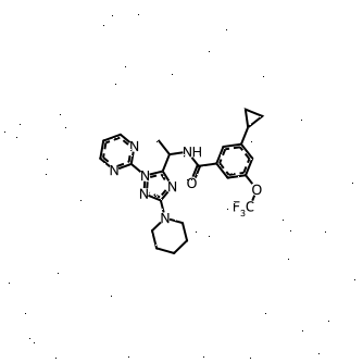 CC(NC(=O)c1cc(OC(F)(F)F)cc(C2CC2)c1)c1nc(N2CCCCC2)nn1-c1ncccn1